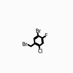 Fc1cc(Cl)c(CBr)cc1Br